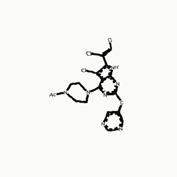 CC(=O)N1CCN(c2nc(Oc3cncnc3)nc3[nH]c(/C(Cl)=C/Cl)c(Cl)c23)CC1